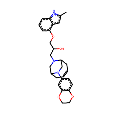 Cc1cc2c(OCC(O)CN3CC4C/C=C\CC3CN4c3ccc4c(c3)OCCO4)cccc2[nH]1